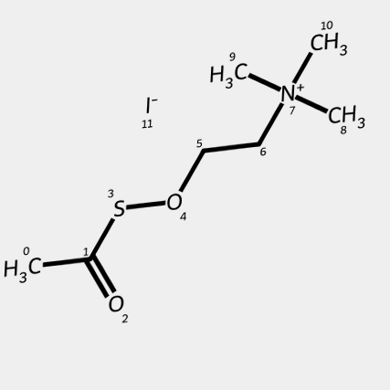 CC(=O)SOCC[N+](C)(C)C.[I-]